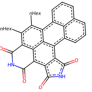 CCCCCCc1c2c3c(c4c(=O)[nH]c(=O)c4c4c5cccc6cccc(c(c1CCCCCC)c34)c65)C(=O)NC2=O